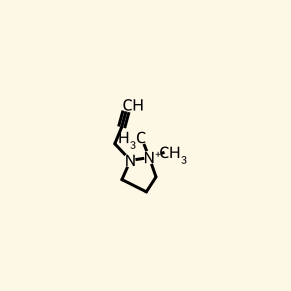 C#CCN1CCC[N+]1(C)C